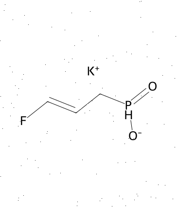 O=[PH]([O-])CC=CF.[K+]